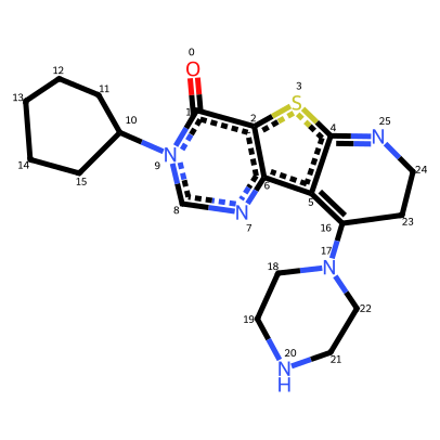 O=c1c2sc3c(c2ncn1C1CCCCC1)=C(N1CCNCC1)CCN=3